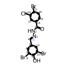 O=C(N/N=C/c1cc(Br)c(O)c(Br)c1)c1ccc(Br)c(Cl)c1